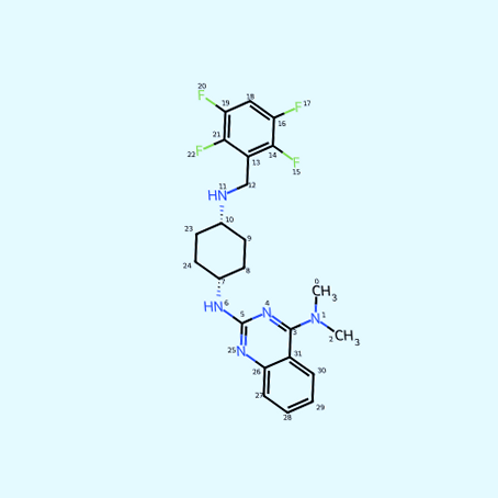 CN(C)c1nc(N[C@H]2CC[C@@H](NCc3c(F)c(F)cc(F)c3F)CC2)nc2ccccc12